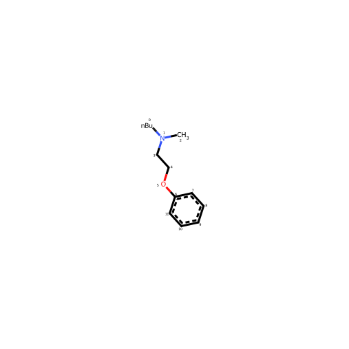 CCCCN(C)CCOc1ccccc1